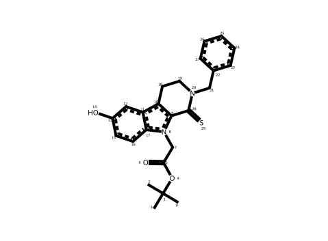 CC(C)(C)OC(=O)Cn1c2c(c3cc(O)ccc31)CCN(Cc1ccccc1)C2=S